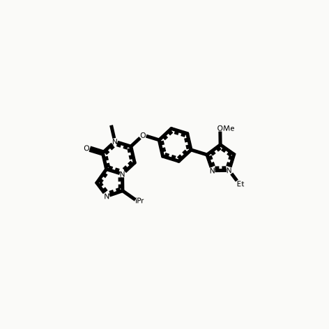 CCn1cc(OC)c(-c2ccc(Oc3cn4c(C(C)C)ncc4c(=O)n3C)cc2)n1